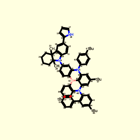 CC(C)(C)c1ccc(N2c3cc(N4c5ccc(-c6ccc[nH]6)cc5C5(C)CCCCC45C)ccc3B3c4ccc(C(C)(C)C)cc4N(c4ccc(C(C)(C)C)cc4-c4ccccc4)c4cc(C(C)(C)C)cc2c43)cc1